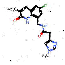 Cn1cnc(CC(=O)NCc2cc(Cl)cc3cc(C(=O)O)c(=O)[nH]c23)c1